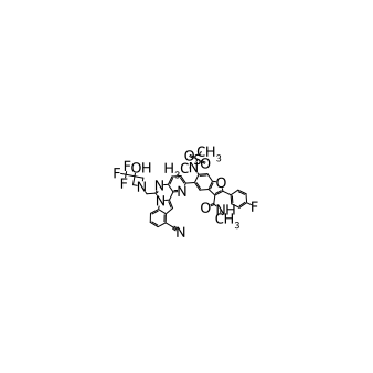 CNC(=O)c1c(-c2ccc(F)cc2)oc2cc(N(C)S(C)(=O)=O)c(-c3ccc4nc(CN5CC(O)(C(F)(F)F)C5)n5c6cccc(C#N)c6cc5c4n3)cc12